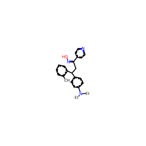 CCN(CC)c1ccc(C(C/C(=N/O)c2ccncc2)c2ccccc2C)cc1